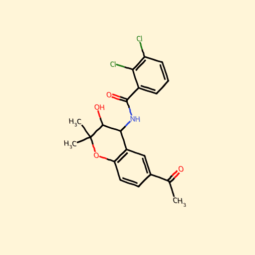 CC(=O)c1ccc2c(c1)C(NC(=O)c1cccc(Cl)c1Cl)C(O)C(C)(C)O2